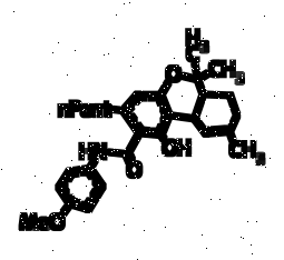 CCCCCc1cc2c(c(O)c1C(=O)Nc1ccc(OC)cc1)C1C=C(C)CCC1C(C)(C)O2